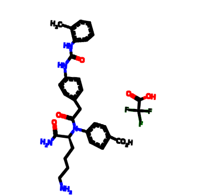 Cc1ccccc1NC(=O)Nc1ccc(CC(=O)N(c2ccc(C(=O)O)cc2)[C@@H](CCCCN)C(N)=O)cc1.O=C(O)C(F)(F)F